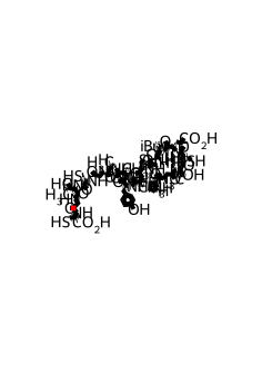 CC[C@H](C)[C@H](NC(=O)[C@H](CCC(=O)O)NC(=O)[C@H](CS)NC(=O)[C@@H](NC(=O)CNC(=O)[C@@H]1CCCN1)[C@@H](C)O)C(=O)NCC(=O)N[C@@H](CS)C(=O)N[C@@H](C)C(=O)N[C@@H](Cc1ccc(O)cc1)C(=O)N[C@@H](C)C(=O)N[C@@H](C)C(=O)NCC(=O)N[C@@H](CS)C(=O)N[C@H](C(=O)NCC(=O)N[C@@H](CS)C(=O)O)[C@@H](C)O